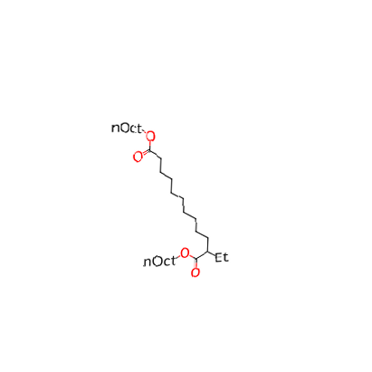 CCCCCCCCOC(=O)CCCCCCCCCC(CC)C(=O)OCCCCCCCC